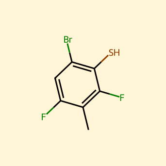 Cc1c(F)cc(Br)c(S)c1F